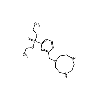 CCOP(=O)(OCC)c1cccc(CN2CCNCCNCC2)n1